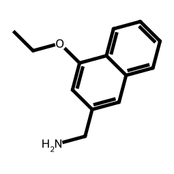 CCOc1cc(CN)cc2ccccc12